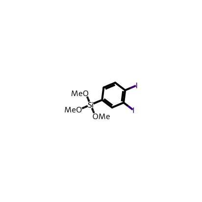 CO[Si](OC)(OC)c1ccc(I)c(I)c1